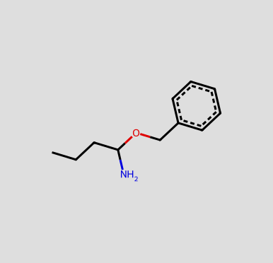 CCCC(N)OCc1ccccc1